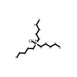 CCCCC[PH](Cl)(CCCCC)CCCCC